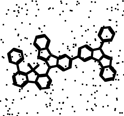 CC1(C)c2c(-c3ccccc3)cccc2-c2cccc(-n3c4ccc(-c5ccc6c(c5)n5c7ccccc7nc5n6-c5ccccc5)cc4n4c5ccccc5nc34)c21